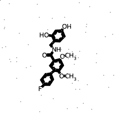 COc1cc(OC)c(-c2ccc(F)cc2)cc1C(=O)NCc1ccc(O)cc1O